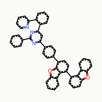 c1ccc(-c2nc(-c3ccc(-c4ccc(-c5cccc6oc7ccccc7c56)c5c4oc4ccccc45)cc3)cc(-c3ccccc3-c3ccccn3)n2)cc1